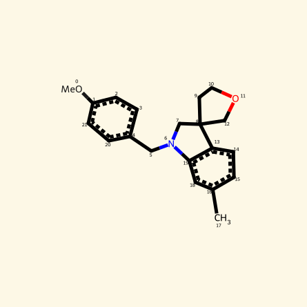 COc1ccc(CN2CC3(CCOC3)c3ccc(C)cc32)cc1